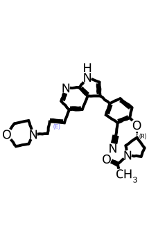 CC(=O)N1CC[C@@H](Oc2ccc(-c3c[nH]c4ncc(/C=C/CN5CCOCC5)cc34)cc2C#N)C1